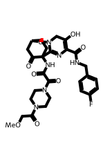 COCC(=O)N1CCN(C(=O)C(=O)NC23CCC(CC2=O)CN2CC(O)=C(C(=O)NCc4ccc(F)cc4)N=C23)CC1